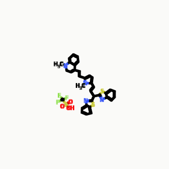 CN1CC=C(C=Cc2ccc(C=CC(c3nc4ccccc4s3)c3nc4ccccc4s3)n2C)c2ccccc21.O=S(=O)(O)C(F)(F)F